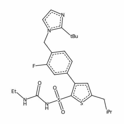 CCNC(=O)NS(=O)(=O)c1sc(CC(C)C)cc1-c1ccc(Cn2ccnc2C(C)(C)C)c(F)c1